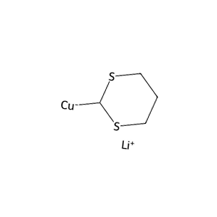 [Cu-][CH]1SCCCS1.[Li+]